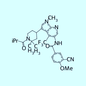 COc1ccc(C(=O)Nc2cnc3c(c(C4CCN(C(=O)C(C)C)C(C)(C)C4)cn3C)c2C(F)(F)F)cc1C#N